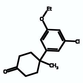 CCOc1cc(Cl)cc(C2(C)CCC(=O)CC2)c1